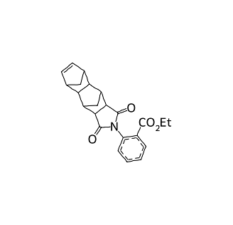 CCOC(=O)c1ccccc1N1C(=O)C2C3CC(C2C1=O)C1C2C=CC(C2)C31